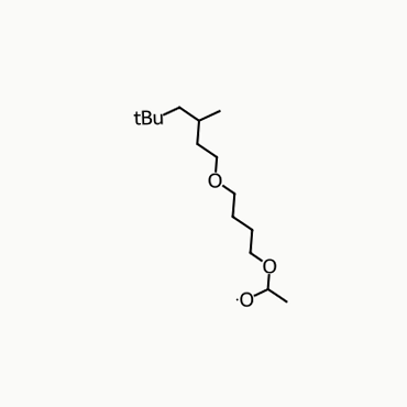 CC(CCOCCCCOC(C)[O])CC(C)(C)C